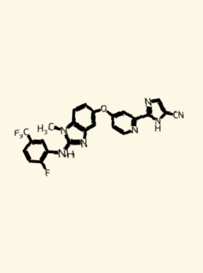 Cn1c(Nc2cc(C(F)(F)F)ccc2F)nc2cc(Oc3ccnc(-c4ncc(C#N)[nH]4)c3)ccc21